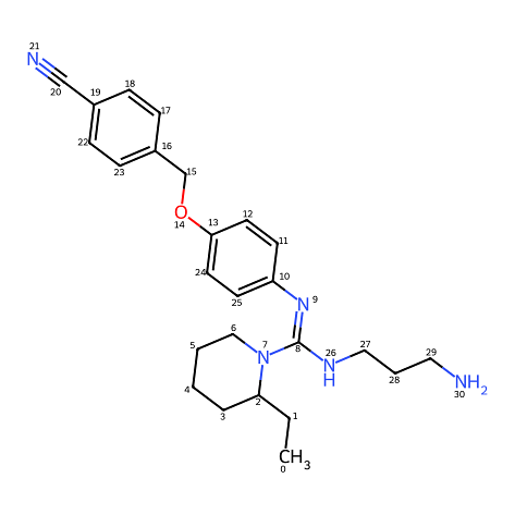 CCC1CCCCN1/C(=N\c1ccc(OCc2ccc(C#N)cc2)cc1)NCCCN